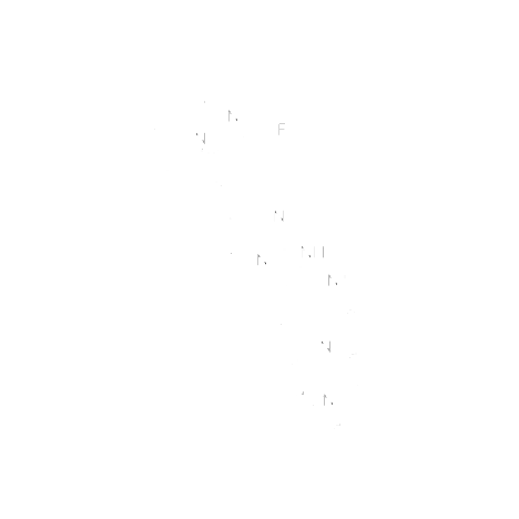 CC1CCCc2nc3c(F)cc(-c4ccnc(Nc5ccc(N6CCN(C)CC6)cn5)n4)cc3n21